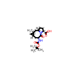 CC(C)(C)OC(=O)N[C@H]1C[C@@H]2C[C@]2(C)C[C@H]2CC[C@@H](C(=O)O)N2C1=O